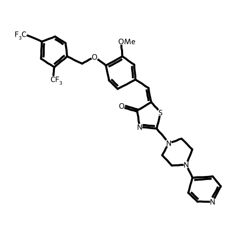 COc1cc(C=C2SC(N3CCN(c4ccncc4)CC3)=NC2=O)ccc1OCc1ccc(C(F)(F)F)cc1C(F)(F)F